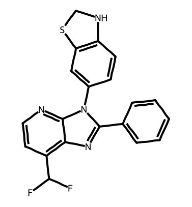 FC(F)c1ccnc2c1nc(-c1ccccc1)n2-c1ccc2c(c1)SCN2